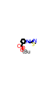 CC(C)(C)OOC(=O)c1cccc(NCc2cncs2)c1